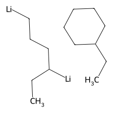 CCC1CCCCC1.[Li][CH2]CC[CH]([Li])CC